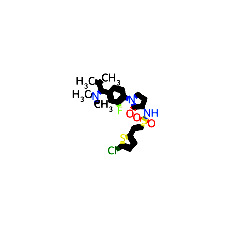 CC(C)C(c1ccc(N2CC[C@H](NS(=O)(=O)C=Cc3ccc(Cl)s3)C2=O)c(F)c1)N(C)C